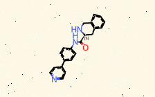 O=C(Nc1ccc(-c2ccncc2)cc1)[C@@H]1Cc2ccccc2CN1